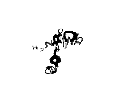 NCc1ccc2c(c1OCc1ccc(CN3CCOCC3)cc1)CN([C@H]1CCCC(=O)NC1=O)C2=O